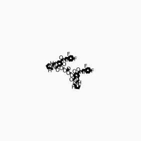 O=C(OCOc1c2n(cc(C(=O)NCc3ccc(F)cc3F)c1=O)C[C@@H]1N(C[C@H]3CCCN31)C2=O)OCOc1c2n(cc(C(=O)NCc3ccc(F)cc3F)c1=O)C[C@@H]1N(C[C@H]3CCCN31)C2=O